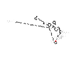 CC[C@H](C)[C@@H]([C@@H](CC(=O)N1CCC[C@H]1[C@H](OC)[C@@H](C)C(=O)N[C@@H](Cc1ccccc1)C(=O)Nc1ccc(CNC(=O)CCCCCN2C(=O)C=CC2=O)cc1)OC)N(C)C(=O)[C@@H](NC(=O)[C@@H]1C2CC[C@@H](C2)N1C(=O)CCOCCOCCOCCOCCOCCOCCOCCOCCOCCOCCOCCOC)C(C)C